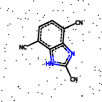 N#Cc1nc2c(C#N)ccc(C#N)c2[nH]1